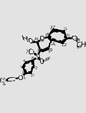 COc1ccc(S(=O)(=O)C2=Cc3cc(OC)ccc3OC2O)cc1